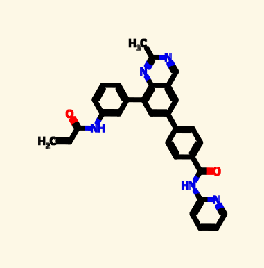 C=CC(=O)Nc1cccc(-c2cc(-c3ccc(C(=O)Nc4ccccn4)cc3)cc3cnc(C)nc23)c1